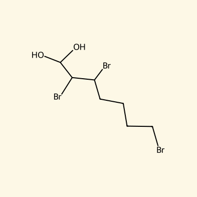 OC(O)C(Br)C(Br)CCCCBr